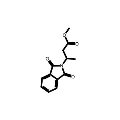 COC(=O)CC(C)N1C(=O)c2ccccc2C1=O